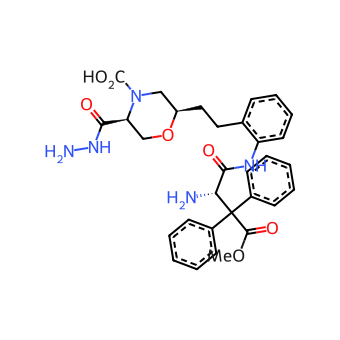 COC(=O)C(c1ccccc1)(c1ccccc1)[C@H](N)C(=O)Nc1ccccc1CC[C@@H]1CN(C(=O)O)[C@H](C(=O)NN)CO1